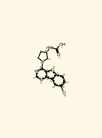 O=C(O)N[C@@H]1CCN(c2ncnc3c2oc2ccc(Cl)cc23)C1